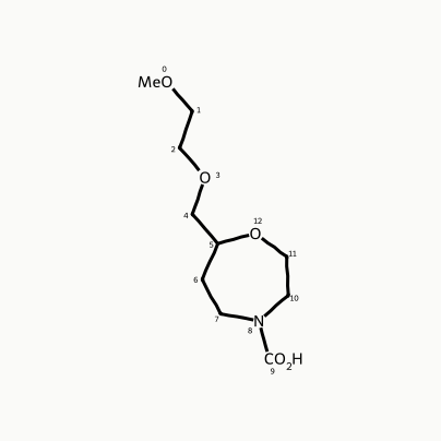 COCCOCC1CCN(C(=O)O)CCO1